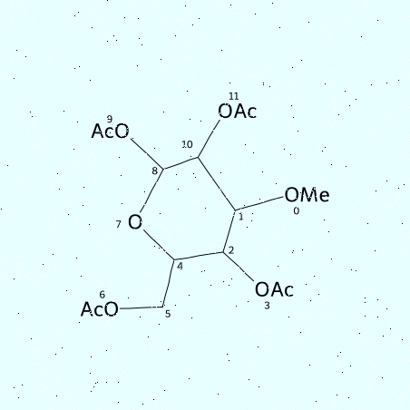 COC1C(OC(C)=O)C(COC(C)=O)OC(OC(C)=O)C1OC(C)=O